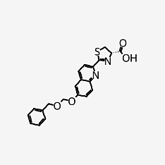 O=C(O)[C@H]1CSC(c2ccc3cc(OCOCc4ccccc4)ccc3n2)=N1